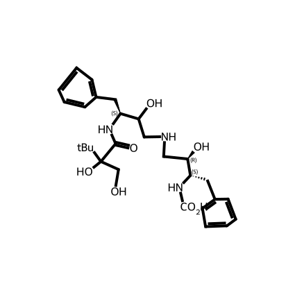 CC(C)(C)C(O)(CO)C(=O)N[C@@H](Cc1ccccc1)C(O)CNC[C@@H](O)[C@H](Cc1ccccc1)NC(=O)O